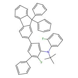 CC(C)(C)N(c1ccccc1F)c1cc(-c2ccc3c(c2)C(c2ccccc2)(c2ccccc2)c2ccccc2-3)cc(-c2ccccc2)c1F